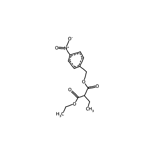 CCOC(=O)C(CC)C(=O)OCc1ccc([N+](=O)[O-])cc1